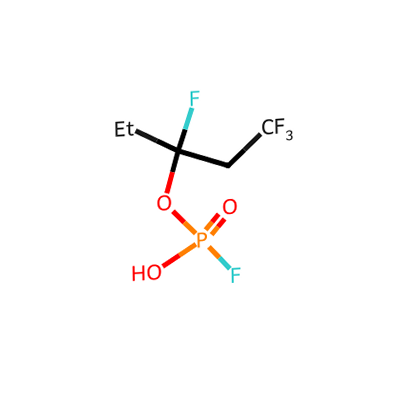 CCC(F)(CC(F)(F)F)OP(=O)(O)F